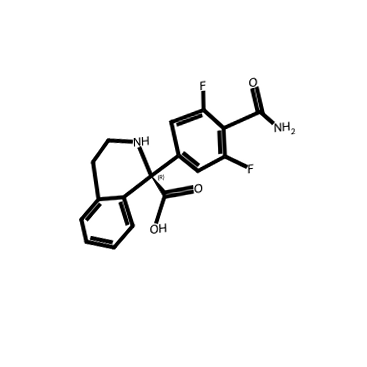 NC(=O)c1c(F)cc([C@@]2(C(=O)O)NCCc3ccccc32)cc1F